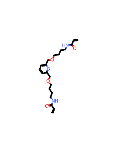 C=CC(=O)NCCCCOCc1cccc(COCCCCNC(=O)C=C)n1